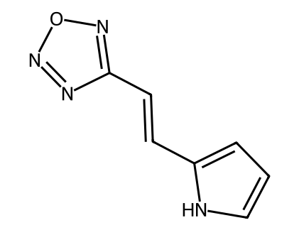 C(=Cc1ccc[nH]1)c1nnon1